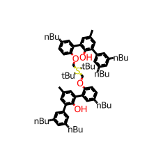 CCCCc1cc(CCCC)cc(-c2cc(C)cc(-c3cc(CCCC)ccc3OCS(COc3ccc(CCCC)cc3-c3cc(C)cc(-c4cc(CCCC)cc(CCCC)c4)c3O)(C(C)(C)C)C(C)(C)C)c2O)c1